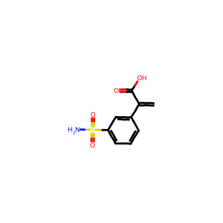 C=C(C(=O)O)c1cccc(S(N)(=O)=O)c1